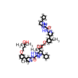 Cc1ccc(OCCCC(C)(C)O)cc1-c1ccnc(NC(=O)c2nc3n(n2)C(C2CCCCC2)CC3C(C)(O)CCCOc2ccc(C)c(-c3ccnc(NC(=O)c4nc5n(n4)C(C4CCCC4)CC5)c3)c2)c1